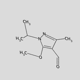 COc1c(C=O)c(C)nn1C(C)C